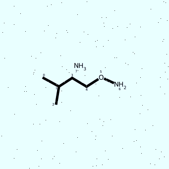 CC(C)CCON.N